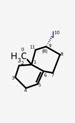 CC12CCCC=C1CC[C@@H](I)C2